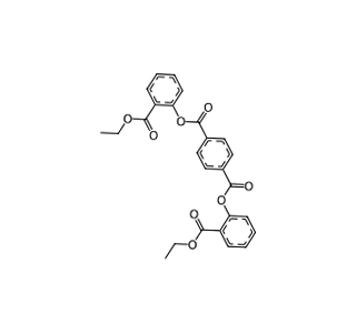 CCOC(=O)c1ccccc1OC(=O)c1ccc(C(=O)Oc2ccccc2C(=O)OCC)cc1